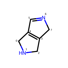 [CH]1NCC2=C1C=NC2